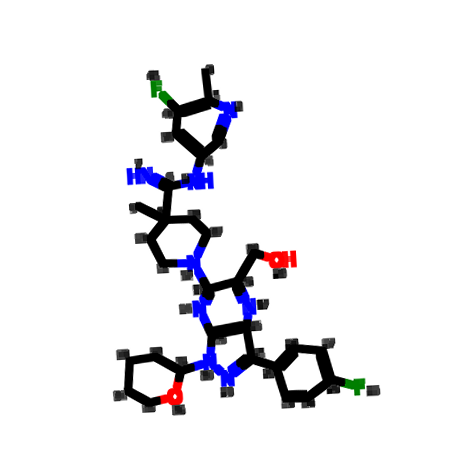 Cc1ncc(NC(=N)C2(C)CCN(c3nc4c(nc3CO)c(-c3ccc(F)cc3)nn4C3CCCCO3)CC2)cc1F